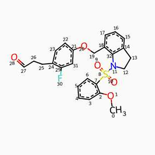 COc1ccccc1S(=O)(=O)N1CCc2cccc(COc3ccc(CCC=O)c(F)c3)c21